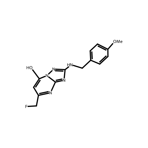 COc1ccc(CNc2nc3nc(CF)cc(O)n3n2)cc1